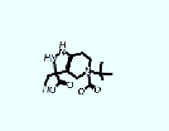 CCC1(C(=O)O)NNC2=C1C[N+](C(=O)[O-])(C(C)(C)C)CC2